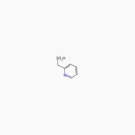 O=S(=O)(O)Cc1cc[c]cn1